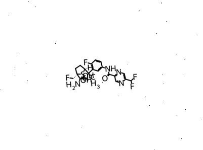 C[C@]1(c2cc(NC(=O)c3cnc(C(F)F)cn3)ccc2F)N=C(N)[C@@]2(CF)CC[C@@H]1S2(O)O